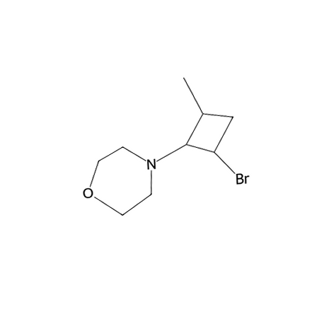 CC1CC(Br)C1N1CCOCC1